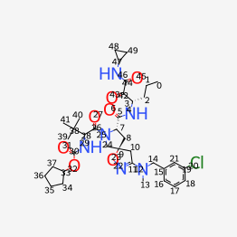 CCC[C@H](NC(=O)[C@@H]1C[C@]2(CC(N(C)Cc3cccc(Cl)c3)=NO2)CN1C(=O)[C@@H](NC(=O)OC1CCCC1)C(C)(C)C)C(=O)C(=O)NC1CC1